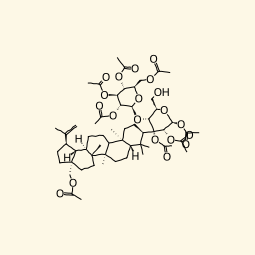 C=C(C)[C@@H]1CC[C@]2(COC(C)=O)CC[C@]3(C)[C@H](CCC4[C@@]5(C)CC[C@@H]([C@@]6(OC(C)=O)[C@H](O[C@@H]7O[C@H](COC(C)=O)[C@@H](OC(C)=O)[C@H](OC(C)=O)[C@H]7OC(C)=O)[C@@H](CO)O[C@@H](OC(C)=O)[C@@H]6OC(C)=O)C(C)(C)[C@@H]5CC[C@]43C)[C@@H]12